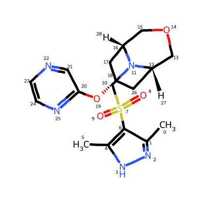 Cc1n[nH]c(C)c1S(=O)(=O)CN1[C@@H]2COC[C@H]1C[C@@H](Oc1cnccn1)C2